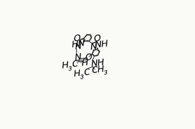 CCC(C)NCc1ccc2[nH]c(=O)c3nc2c1O[C@H]1C[C@@H](C)N(CCn2[nH]c4c-3cccc4c2=O)C1